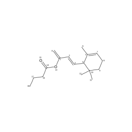 C=C(C=CC1C(C)=CCCC1(C)C)OC(=O)CCC